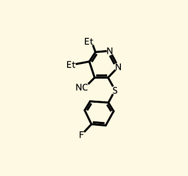 CCc1nnc(Sc2ccc(F)cc2)c(C#N)c1CC